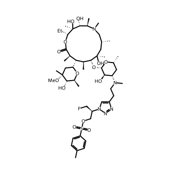 CC[C@H]1OC(=O)[C@H](C)[C@@H](C2C[C@@](C)(OC)[C@@H](O)[C@H](C)O2)[C@H](C)[C@@H](O[C@@H]2O[C@H](C)C[C@H](N(C)CCc3cn([C@H](CF)COS(=O)(=O)c4ccc(C)cc4)nn3)[C@H]2O)[C@](C)(O)C[C@@H](C)CN(C)[C@H](C)[C@@H](O)[C@]1(C)O